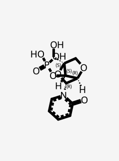 O=c1ccccn1[C@@H]1O[C@@]2(CO)CO[C@@H]1[C@@H]2OP(=O)(O)O